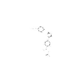 COc1ccc(Oc2ncc(-c3ccc(C(C)CC(N)=O)cc3)s2)cc1